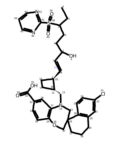 CCC(CCC(O)/C=C/[C@@H]1CC[C@H]1CN1CC2(CCCc3cc(Cl)ccc32)COc2ccc(C(=O)O)cc21)S(=O)(=O)c1ncccn1